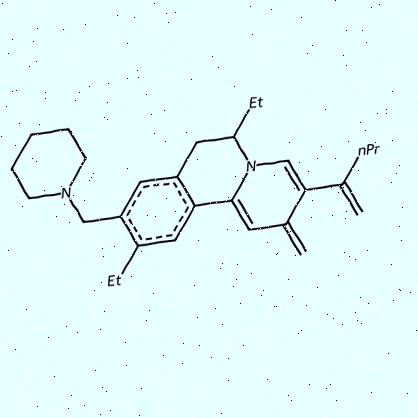 C=C1C=C2c3cc(CC)c(CN4CCCCC4)cc3CC(CC)N2C=C1C(=C)CCC